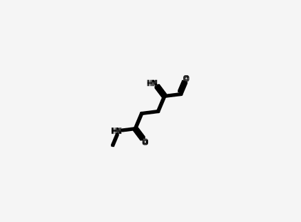 CNC(=O)CCC(=N)C=O